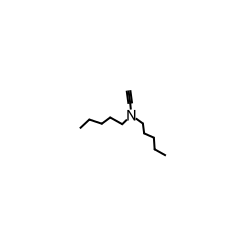 C#CN(CCCCC)CCCCC